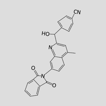 Cc1cc(C(O)c2ccc(C#N)cc2)nc2cc(N3C(=O)c4ccccc4C3=O)ccc12